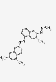 CN=Nc1cc2cccc(N=Nc3ccc4c(C)cc(C)cc4c3)c2cc1C